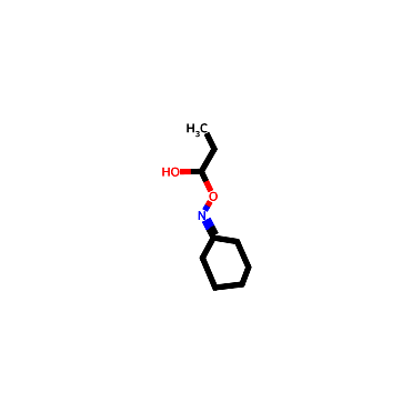 CCC(O)ON=C1CCCCC1